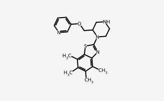 Cc1c(C)c(C)c2sc(N3CCNCC3COc3cccnc3)nc2c1C